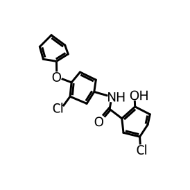 O=C(Nc1ccc(Oc2ccccc2)c(Cl)c1)c1cc(Cl)ccc1O